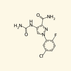 NC(=O)Nc1cn(-c2cc(Cl)ccc2F)nc1C(N)=O